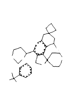 OC1CC2(CCC2)Cc2nc(C3CCOCC3)c3c(c21)C1(CCOCC1)O[C@@H]3c1ccc(C(F)(F)F)cc1